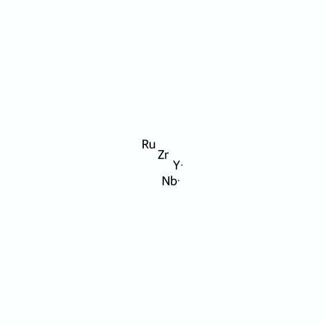 [Nb].[Ru].[Y].[Zr]